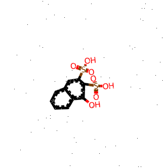 O=S(=O)(O)c1[c]c2ccccc2c(O)c1S(=O)(=O)O